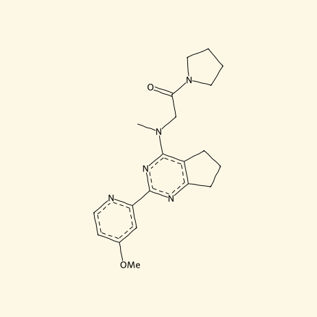 COc1ccnc(-c2nc3c(c(N(C)CC(=O)N4CCCC4)n2)CCC3)c1